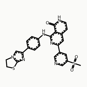 CS(=O)(=O)c1cncc(-c2cc3cc[nH]c(=O)c3c(Nc3ccc(-c4cn5c(n4)SCC5)cc3)n2)c1